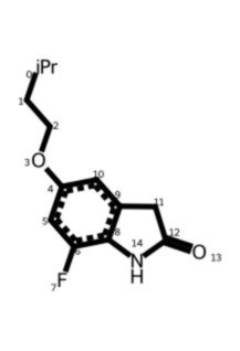 CC(C)CCOc1cc(F)c2c(c1)CC(=O)N2